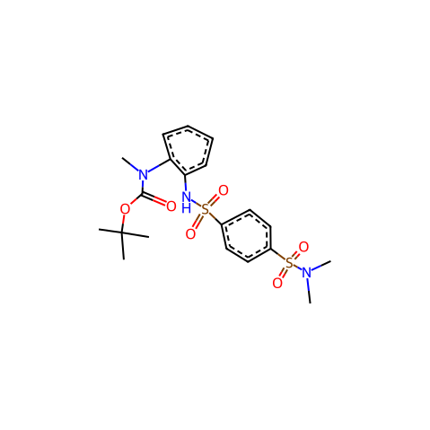 CN(C(=O)OC(C)(C)C)c1ccccc1NS(=O)(=O)c1ccc(S(=O)(=O)N(C)C)cc1